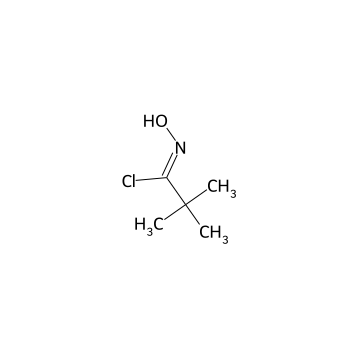 CC(C)(C)C(Cl)=NO